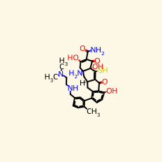 Cc1ccc(CNCCN(C)C)cc1-c1ccc(O)c2c1C[C@H]1C[C@@]3(N)CC(O)=C(C(N)=O)C(=O)[C@@]3(O)C(S)=C1C2=O